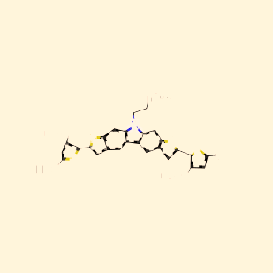 CCCCCCCCCCCCn1c2cc3sc(-c4sc(C)cc4CCCCCCCCCC)cc3cc2c2cc3cc(-c4sc(C)cc4CCCCCCCCCC)sc3cc21